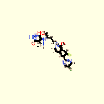 O=c1[nH]ncc(NC(CO)CCCn2ccc3cc(-c4ncc(Cl)cn4)c(F)cc3c2=O)c1C(F)(F)F